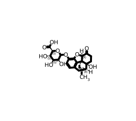 CN1CC[C@]23c4c5ccc(OC6O[C@H](C(=O)O)[C@@H](O)[C@H](O)[C@H]6O)c4O[C@H]2C(=O)CC[C@@]3(O)[C@H]1C5